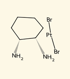 N[C@@H]1CCCC[C@@H]1N.[Br][Pt][Br]